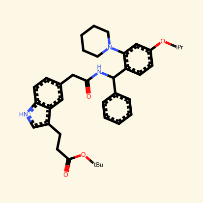 CC(C)Oc1ccc(C(NC(=O)Cc2ccc3[nH]cc(CCC(=O)OC(C)(C)C)c3c2)c2ccccc2)c(N2CCCCC2)c1